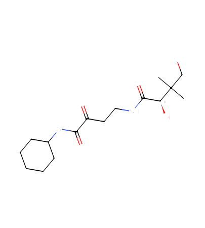 CC(C)(CO)[C@@H](O)C(=O)NCCC(=O)C(=O)NC1CCCCC1